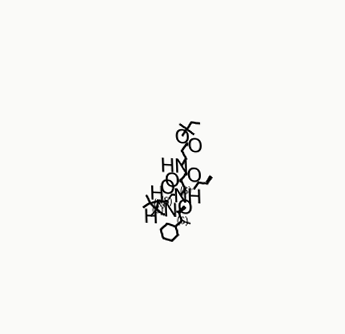 C=CCC[C@H](NC(=O)[C@@H]1[C@@H]2[C@H](CN1C(=O)[C@@H](C)C1CCCCC1)C2(C)C)C(=O)C(=O)NCCC(=O)OC(C)(C)CC